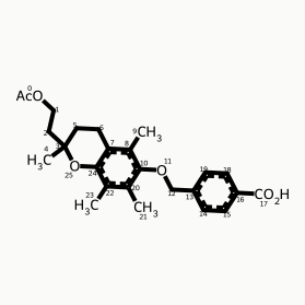 CC(=O)OCCC1(C)CCc2c(C)c(OCc3ccc(C(=O)O)cc3)c(C)c(C)c2O1